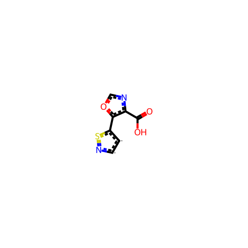 O=C(O)c1ncoc1-c1[c][c]ns1